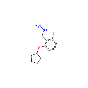 NNCc1c(F)cccc1OC1CCCC1